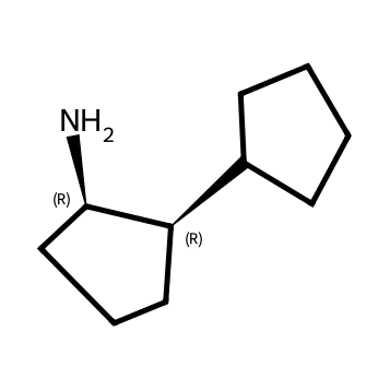 N[C@@H]1CCC[C@@H]1C1CCCC1